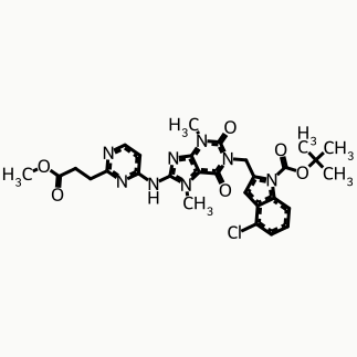 COC(=O)CCc1nccc(Nc2nc3c(c(=O)n(Cc4cc5c(Cl)cccc5n4C(=O)OC(C)(C)C)c(=O)n3C)n2C)n1